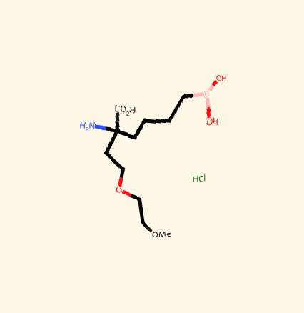 COCCOCCC(N)(CCCCB(O)O)C(=O)O.Cl